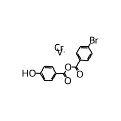 O=C(OC(=O)c1ccc(Br)cc1)c1ccc(O)cc1.[Cr].[V]